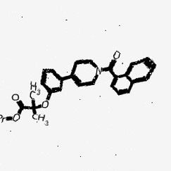 CC(C)OC(=O)C(C)(C)Oc1cccc(C2=CCN(C(=O)c3cccc4ccccc34)CC2)c1